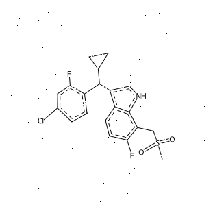 CS(=O)(=O)Cc1c(F)ccc2c(C(c3ccc(Cl)cc3F)C3CC3)c[nH]c12